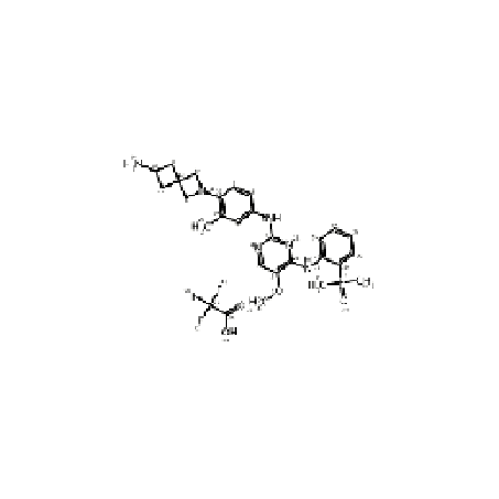 COc1cnc(Nc2ccc(N3CC4(CC(N)C4)C3)c(C)c2)nc1Nc1ccccc1P(C)(C)=O.O=C(O)C(F)(F)F